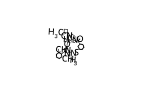 Cc1cccc(C)c1-c1cc2nc(n1)NSc1cccc(c1)C(=O)N1CCN(C3CCC3(C)C)C[C@H](C1)O2